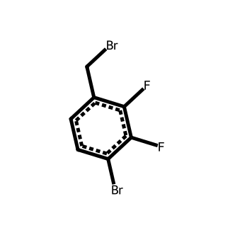 Fc1c(Br)ccc(CBr)c1F